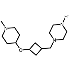 CCN1CCN(CC2CC(OC3CCN(C)CC3)C2)CC1